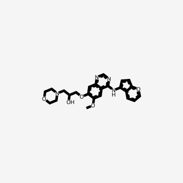 COc1cc2c(Nc3ccc4occcc3-4)ncnc2cc1OCC(O)CN1CCOCC1